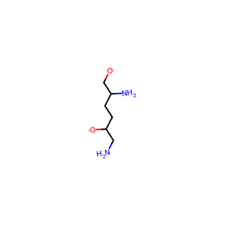 NCC([O])CCC(N)C[O]